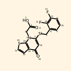 O=C(O)Cn1c(SCc2cccc(F)c2F)cc(=O)c2ccsc21